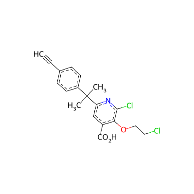 C#Cc1ccc(C(C)(C)c2cc(C(=O)O)c(OCCCl)c(Cl)n2)cc1